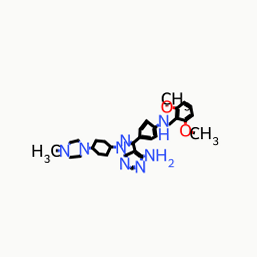 COc1cccc(OC)c1CNc1ccc(-c2nn(C3CCC(N4CCN(C)CC4)CC3)c3ncnc(N)c23)cc1